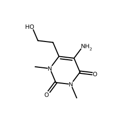 Cn1c(CCO)c(N)c(=O)n(C)c1=O